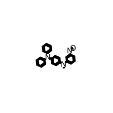 CN(c1ccc(N(c2ccccc2)c2ccccc2)cc1)c1cccc(N=O)c1